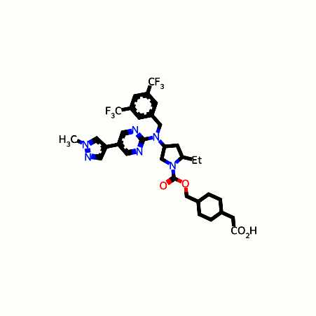 CCC1CC(N(Cc2cc(C(F)(F)F)cc(C(F)(F)F)c2)c2ncc(-c3cnn(C)c3)cn2)CN1C(=O)OCC1CCC(CC(=O)O)CC1